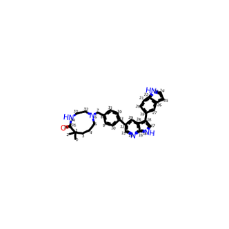 CC1(C)CCCN(Cc2ccc(-c3cnc4[nH]cc(-c5ccc6[nH]ccc6c5)c4c3)cc2)CCNC1=O